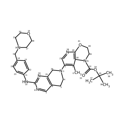 Cc1c(N2CCc3cnc(Nc4ccc(CN5CCOCC5)cc4)nc3C2)cnc2c1N(C(=O)OC(C)(C)C)CCO2